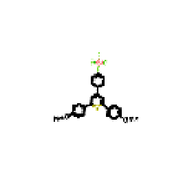 COc1ccc(-c2cc(-c3ccccc3)cc(-c3ccc(OC)cc3)[s+]2)cc1.F[B-](F)(F)F